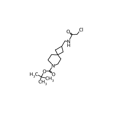 CC(C)(C)OC(=O)N1CCC2(CC1)CC(CNC(=O)CCl)C2